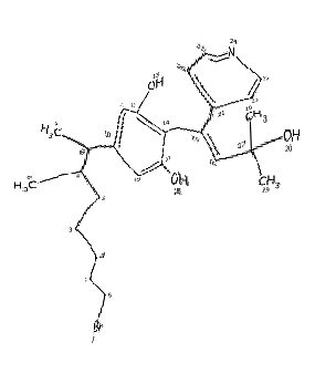 CC(CCCCCBr)C(C)c1cc(O)c(C(=CC(C)(C)O)c2ccncc2)c(O)c1